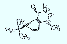 C[S+]([O-])c1ccc(C(C)(C)C)cc1C(N)=O